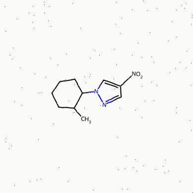 CC1CCCCC1n1cc([N+](=O)[O-])cn1